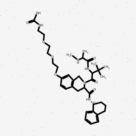 CNC(C)C(=O)NC(C(=O)N1Cc2cc(OCCOCCOCCNC(=O)O)ccc2CC1C(=O)N[C@@H]1CCCc2ccccc21)C(C)(C)C